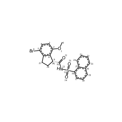 COc1ccc(Br)c2c1[C@H](C(=O)NS(=O)(=O)c1cccc3ccccc13)CC2